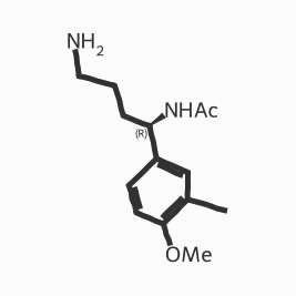 COc1ccc([C@@H](CCCN)NC(C)=O)cc1C